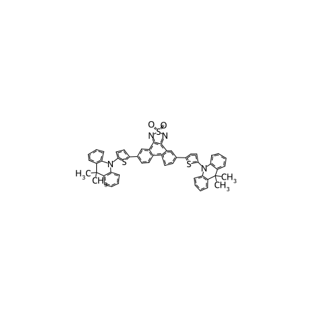 CC1(C)c2ccccc2N(c2ccc(-c3ccc4c(c3)c3c(c5cc(-c6ccc(N7c8ccccc8C(C)(C)c8ccccc87)s6)ccc54)=NS(=O)(=O)N=3)s2)c2ccccc21